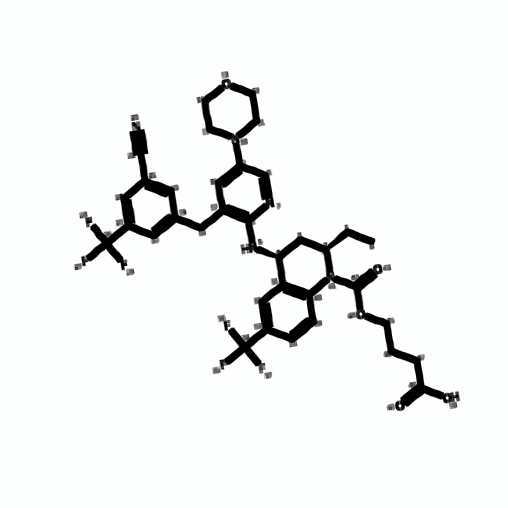 CC[C@@H]1C[C@H](Nc2ncc(N3CCOCC3)cc2Cc2cc(C#N)cc(C(F)(F)F)c2)c2cc(C(F)(F)F)ccc2N1C(=O)OCCCC(=O)O